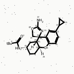 CC(C)(C)C(=O)N[C@H]1CC[C@@H]2Oc3ccc(C4CC4)cc3[C@]3(COC(N)=N3)[C@H]2C1